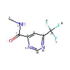 CNC(=O)c1cc(C(F)(F)F)ncn1